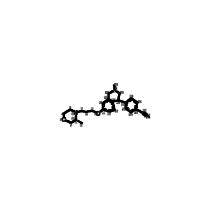 C[C@H]1COCCN1CCCOc1ccc2c(c1)CN(C)CC2c1ccc(C#N)cc1